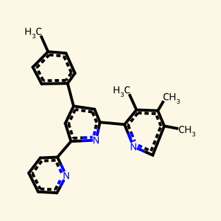 Cc1ccc(-c2cc(-c3ccccn3)nc(-c3ncc(C)c(C)c3C)c2)cc1